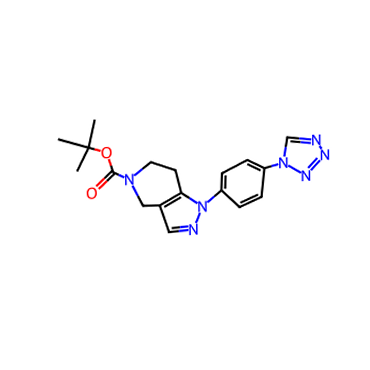 CC(C)(C)OC(=O)N1CCc2c(cnn2-c2ccc(-n3cnnn3)cc2)C1